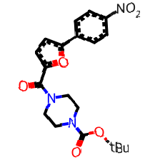 CC(C)(C)OC(=O)N1CCN(C(=O)c2ccc(-c3ccc([N+](=O)[O-])cc3)o2)CC1